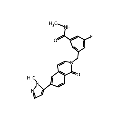 CNC(=O)c1cc(F)cc(Cn2ccc3cc(-c4ccnn4C)ccc3c2=O)c1